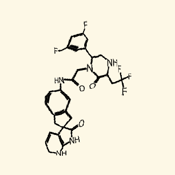 O=C(CN1C(=O)C(CC(F)(F)F)NCC1c1cc(F)cc(F)c1)Nc1ccc2c(c1)CC1(C2)C(=O)NC2=C1C=CCN2